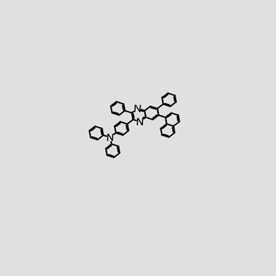 c1ccc(-c2cc3nc(-c4ccccc4)c(-c4ccc(N(c5ccccc5)c5ccccc5)cc4)nc3cc2-c2cccc3ccccc23)cc1